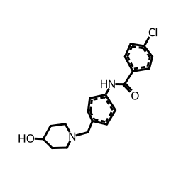 O=C(Nc1ccc(CN2CCC(O)CC2)cc1)c1ccc(Cl)cc1